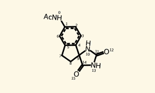 CC(=O)Nc1ccc2c(c1)CCC21NC(=O)NC1=O